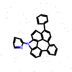 c1ccc(-c2ccc3c4c2ccc2c4c4c(cccc4n2-c2ccccn2)-c2ccccc2-3)cc1